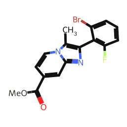 COC(=O)c1ccn2c(C)c(-c3c(F)cccc3Br)nc2c1